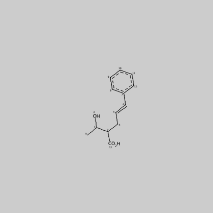 CC(O)C(C/C=C/c1ccccc1)C(=O)O